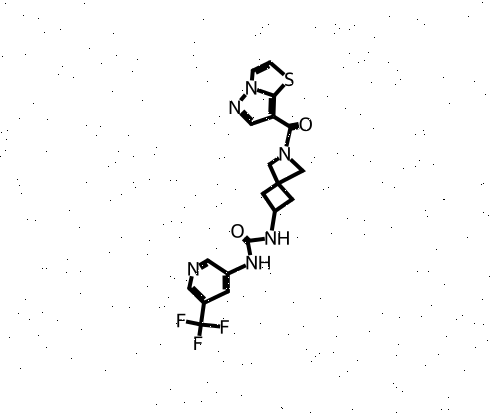 O=C(Nc1cncc(C(F)(F)F)c1)NC1CC2(C1)CN(C(=O)c1cnn3ccsc13)C2